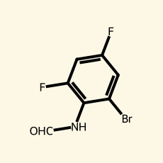 O=CNc1c(F)cc(F)cc1Br